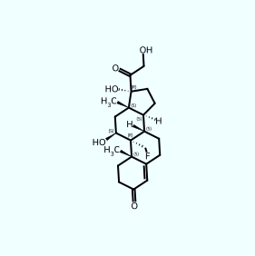 C[C@]12CCC(=O)C=C1CC[C@H]1[C@@H]3CC[C@](O)(C(=O)CO)[C@@]3(C)C[C@H](O)[C@@]12CF